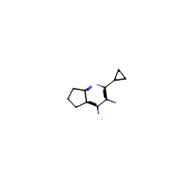 CCc1c(C2CC2)nc2c(c1N)CCC2